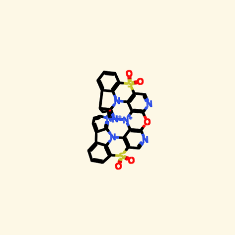 O=S1(=O)c2cnc3c4c2-n2c5c1cccc5c1ccc[n+](c12)[N+]41c2c(ncc4c2-n2c5c(cccc5c5ccc[n+]1c52)S4(=O)=O)O3